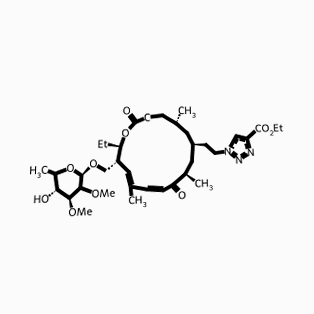 CCOC(=O)c1cn(CC[C@@H]2C[C@@H](C)CCC(=O)O[C@H](CC)[C@@H](CO[C@@H]3OC(C)[C@@H](O)[C@H](OC)C3OC)/C=C(C)/C=C/C(=O)[C@H](C)C2)nn1